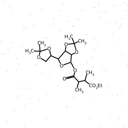 CCOC(=O)C(C)C(C)C(=O)OC1OC(C2COC(C)(C)O2)C2OC(C)(C)OC12